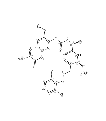 C=C(Oc1ccc(OCC)c(CC(=O)N[C@H](C(=O)N[C@@H](CC(=O)O)C(=O)CSCc2c(F)cccc2Cl)C(C)C)c1)C(=O)OC